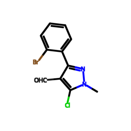 Cn1nc(-c2ccccc2Br)c(C=O)c1Cl